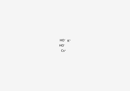 [Cs+].[K+].[OH-].[OH-]